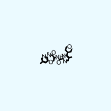 Cc1cnc2c(c1)OC[C@H](NC(=O)c1ncc(C)c(C3CCOCC3)n1)C(=O)N2C